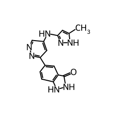 Cc1cc(Nc2cnnc(-c3ccc4[nH][nH]c(=O)c4c3)c2)n[nH]1